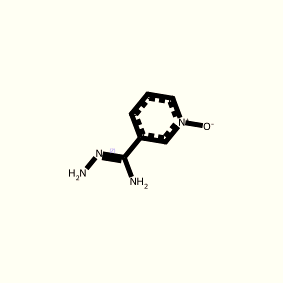 N/N=C(\N)c1ccc[n+]([O-])c1